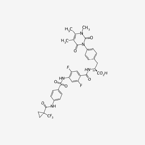 Cc1c(C)n(C)c(=O)n(-c2ccc(C[C@H](NC(=O)c3cc(F)c(NS(=O)(=O)c4ccc(NC(=O)C5(C(F)(F)F)CC5)cc4)cc3F)C(=O)O)cc2)c1=O